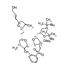 C=C1C[C@H](/C=C/CO)O[C@H]1CC[C@H]1C[C@@H](C)C(=C)[C@@H](C[C@@H]2O[C@H](CC(CO[Si](C)(C)C(C)(C)C)O[Si](C)(C)C(C)(C)C)[C@H](OC)[C@H]2CS(=O)(=O)c2ccccc2)O1